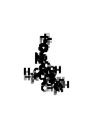 CCCC[C@@H](C(=O)C(=O)Nc1ccn[nH]1)N(C(=O)O)C(CCc1nnc(-c2ccc(C(F)(F)F)cc2)o1)C(C)(C)C